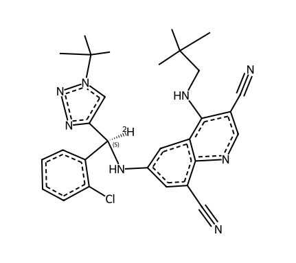 [2H][C@@](Nc1cc(C#N)c2ncc(C#N)c(NCC(C)(C)C)c2c1)(c1cn(C(C)(C)C)nn1)c1ccccc1Cl